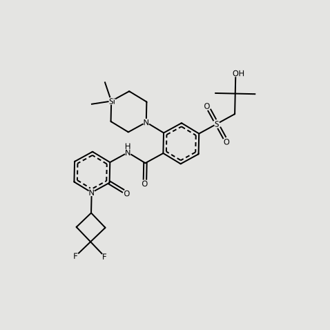 CC(C)(O)CS(=O)(=O)c1ccc(C(=O)Nc2cccn(C3CC(F)(F)C3)c2=O)c(N2CC[Si](C)(C)CC2)c1